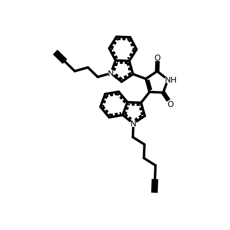 C#CCCCCn1cc(C2=C(c3cn(CCCC#C)c4ccccc34)C(=O)NC2=O)c2ccccc21